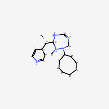 C[C@@H]([C@@H]1C=CN=CC1)[C@H]1NC=NCN(C2CCCCCCC2)N1C